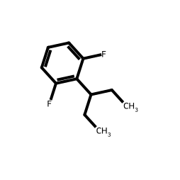 CCC(CC)c1c(F)cccc1F